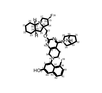 Oc1cc(N2CCc3c(nc(OC[C@]45C[C@H](F)CN4[C@H]4CCCC[C@H]4C5)nc3N3CC4CCC(C3)N4)C2)c2c(I)cccc2c1